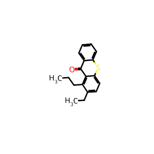 CCCc1c(CC)ccc2sc3ccccc3c(=O)c12